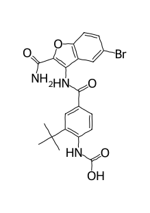 CC(C)(C)c1cc(C(=O)Nc2c(C(N)=O)oc3ccc(Br)cc23)ccc1NC(=O)O